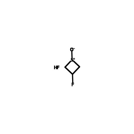 F.[O-][S+]1CC(F)C1